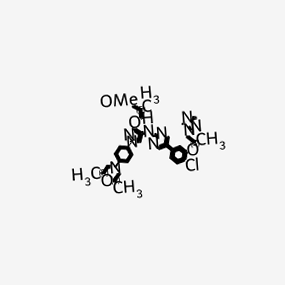 COC[C@H](C)COc1nn([C@H]2CC[C@H](N3C[C@@H](C)O[C@@H](C)C3)CC2)cc1Nc1ncc(-c2ccc(Cl)c(O[C@@H](C)Cn3cncn3)c2)cn1